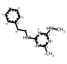 CNc1nc(C)nc(NCCc2ccccc2)n1